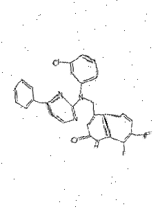 O=c1cc(CN(c2cccc(Cl)c2)c2nccc(-c3ccccc3)n2)c2ccc(F)c(F)c2[nH]1